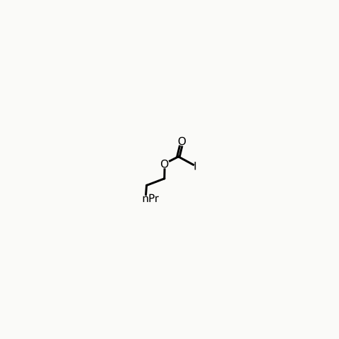 CCCCCOC(=O)I